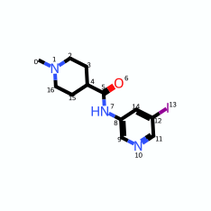 CN1CCC(C(=O)Nc2cncc(I)c2)CC1